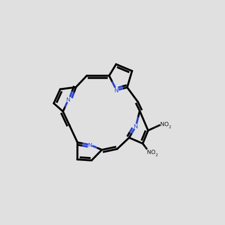 O=[N+]([O-])C1=C([N+](=O)[O-])C2=NC1=CC1=NC(=CC3=NC(=CC4=NC(=C2)C=C4)C=C3)C=C1